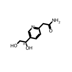 NC(=O)Cc1ccc([C@@H](O)CO)cn1